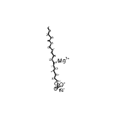 CCCCCCCCCCCCCCCCCCOP(=O)([O-])[O-].[Mg+2]